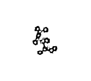 c1ccc(-c2cc(-c3nc(-n4c5ccccc5c5cc6c7ccccc7n(-c7ccccc7)c6cc54)nc4ccccc34)c3oc4c5ccccc5ccc4c3c2)cc1